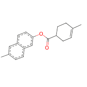 CC1=CCC(C(=O)Oc2ccc3cc(C)ccc3c2)CC1